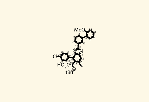 COc1ncccc1-c1cccc(-c2nc3cc(C)c([C@H](OC(C)(C)C)C(=O)O)c(-c4ccc(Cl)cc4)c3s2)c1